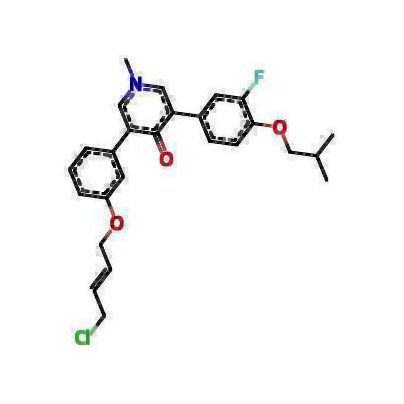 CC(C)COc1ccc(-c2cn(C)cc(-c3cccc(OCC=CCCl)c3)c2=O)cc1F